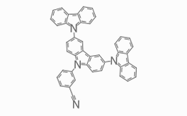 N#Cc1cccc(-n2c3ccc(-n4c5ccccc5c5ccccc54)cc3c3cc(-n4c5ccccc5c5ccccc54)ccc32)c1